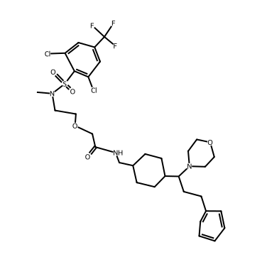 CN(CCOCC(=O)NCC1CCC(C(CCc2ccccc2)N2CCOCC2)CC1)S(=O)(=O)c1c(Cl)cc(C(F)(F)F)cc1Cl